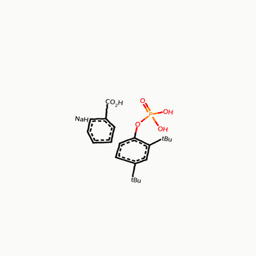 CC(C)(C)c1ccc(OP(=O)(O)O)c(C(C)(C)C)c1.O=C(O)c1ccccc1.[NaH]